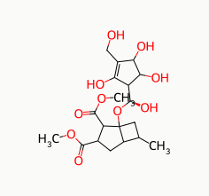 COC(=O)C1CC2C(C)CC2(O[C@H](O)C2C(O)=C(CO)C(O)C2O)C1C(=O)OC